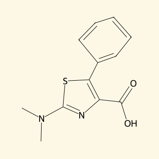 CN(C)c1nc(C(=O)O)c(-c2ccccc2)s1